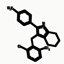 Cc1ccc(-c2[nH]c3c(c2Cc2c(Cl)cccc2C(F)(F)F)CCCC3)cc1